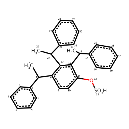 CC(c1ccccc1)c1ccc(OS(=O)(=O)O)c(C(C)c2ccccc2)c1C(C)c1ccccc1